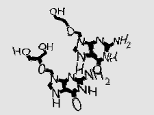 Nc1nc2c(c(=O)[nH]1)NCN2COC(CO)CO.Nc1nc2c(c(=O)[nH]1)NCN2COCCO